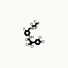 O=C(NCc1cc(NC(=O)C2C(c3ccc(Cl)c(Cl)c3)C2(Cl)Cl)ccc1F)C(F)C(F)F